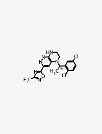 C[C@H](c1cc(Cl)ccc1Cl)N1CCNc2nnc(-c3nc(C(F)(F)F)no3)cc21